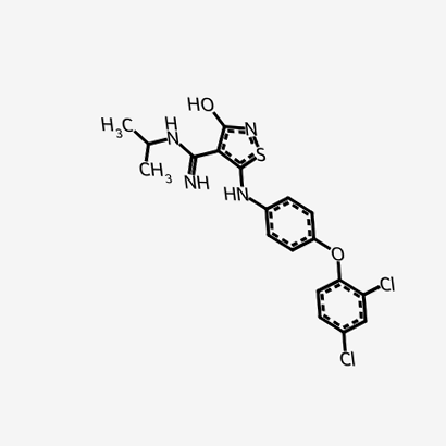 CC(C)NC(=N)c1c(O)nsc1Nc1ccc(Oc2ccc(Cl)cc2Cl)cc1